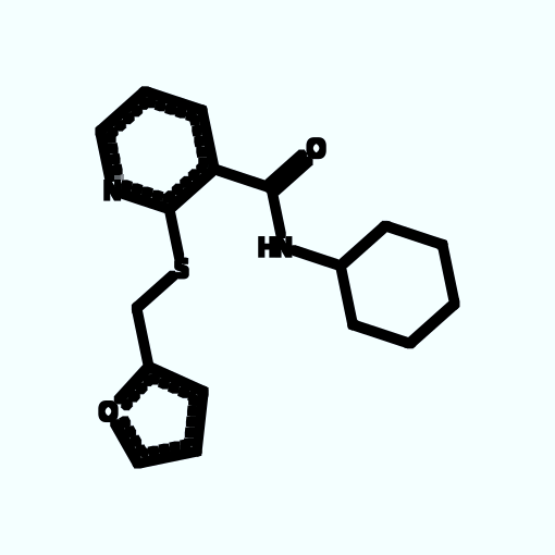 O=C(NC1CCCCC1)c1cccnc1SCc1ccco1